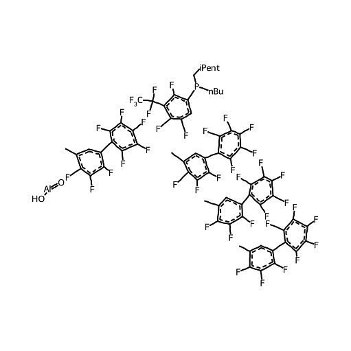 CCCCP(CC(C)CCC)c1cc(F)c(F)c(C(F)(F)C(F)(F)F)c1F.Cc1cc(-c2c(F)c(F)c(F)c(F)c2F)c(F)c(F)c1F.Cc1cc(-c2c(F)c(F)c(F)c(F)c2F)c(F)c(F)c1F.Cc1cc(-c2c(F)c(F)c(F)c(F)c2F)c(F)c(F)c1F.Cc1cc(-c2c(F)c(F)c(F)c(F)c2F)c(F)c(F)c1F.[O]=[Al][OH]